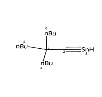 CCCCC([C]#[SnH])(CCCC)CCCC